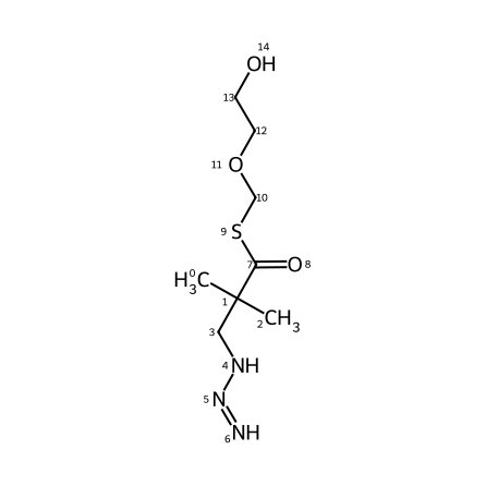 CC(C)(CNN=N)C(=O)SCOCCO